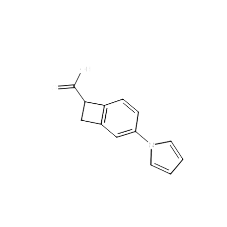 O=C(O)C1Cc2cc(-n3cccc3)ccc21